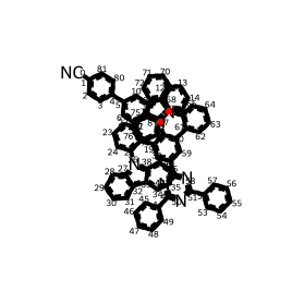 N#Cc1ccc(-c2ccc3c(c2)c2ccccc2n3-c2c(-c3ccccc3-n3c4ccccc4c4ccccc43)cc(-c3nc(-c4ccccc4)nc(-c4ccccc4)n3)cc2-c2ccccc2-n2c3ccccc3c3ccccc32)cc1